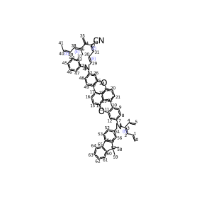 C=C/C=C(\C=C)N(c1ccc2c(c1)Oc1ccc3c4c(ccc-2c14)Oc1cc(N(/C=C/C=C(/C#N)C(=C)/C(C)=C/C=C\C)c2ccccc2)ccc1-3)c1ccc2c(c1)C(C)(C)c1ccccc1-2